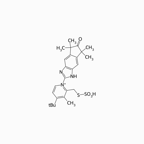 Cc1c(C(C)(C)C)cc[n+](-c2nc3cc4c(cc3[nH]2)C(C)(C)C(=O)C4(C)C)c1CSS(=O)(=O)O